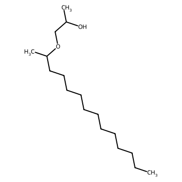 CCCCCCCCCCCCC(C)OCC(C)O